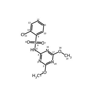 COc1nc(NS(=O)(=O)c2ccccc2Cl)nc(OC)n1